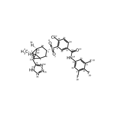 C[C@H]1CC2C[C@@H](S(=O)(=O)c3cc(C(=O)Nc4cc(F)c(F)c(F)c4)ccc3Cl)C[C@H]1[C@@]2(O)Cc1nnn[nH]1